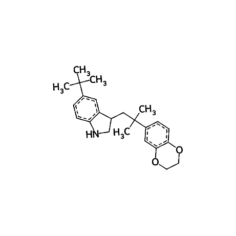 CC(C)(C)c1ccc2c(c1)C(CC(C)(C)c1ccc3c(c1)OCCO3)CN2